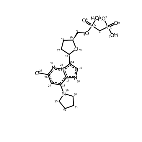 O=P(O)(O)CP(=O)(O)OC[C@@H]1CC[C@H](c2cnc3c(N4CCCC4)cc(Cl)nn23)O1